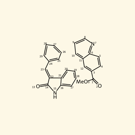 COC(=O)c1ccc2ncccc2c1.O=C1Nc2ccccc2C1=Cc1ccccc1